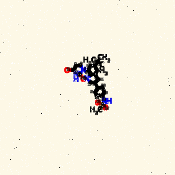 CC(C)(C)c1cc(-n2ccc(=O)[nH]c2=O)c2ncc(-c3ccc(NS(C)(=O)=O)cc3)cc2c1